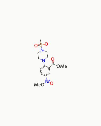 COC(=O)c1cc([N+](=O)OC)ccc1N1CCN(S(C)(=O)=O)CC1